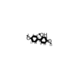 CO.COc1ccc(-c2ccc(OC)cc2)cc1